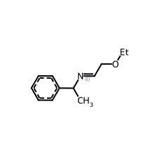 CCOC/C=N/C(C)c1ccccc1